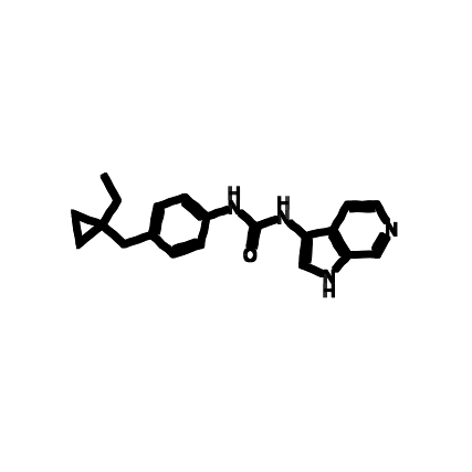 CCC1(Cc2ccc(NC(=O)Nc3c[nH]c4cnccc34)cc2)CC1